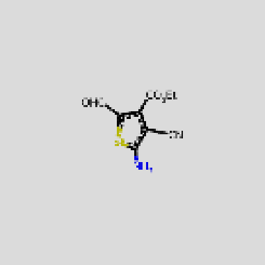 CCOC(=O)c1c(C=O)sc(N)c1C#N